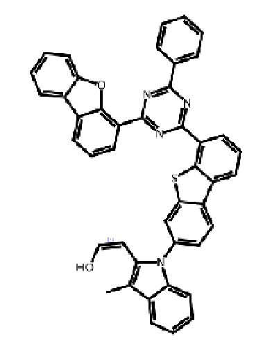 Cc1c(/C=C\O)n(-c2ccc3c(c2)sc2c(-c4nc(-c5ccccc5)nc(-c5cccc6c5oc5ccccc56)n4)cccc23)c2ccccc12